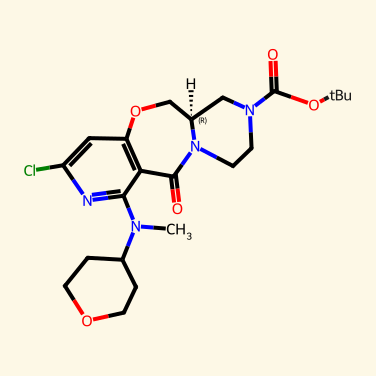 CN(c1nc(Cl)cc2c1C(=O)N1CCN(C(=O)OC(C)(C)C)C[C@@H]1CO2)C1CCOCC1